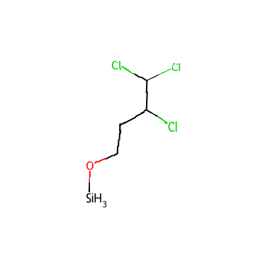 [SiH3]OCCC(Cl)C(Cl)Cl